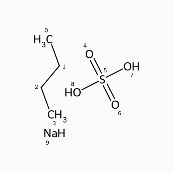 CCCC.O=S(=O)(O)O.[NaH]